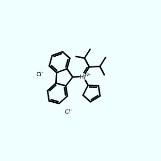 CC(C)[C](C(C)C)=[Hf+2]([C]1=CC=CC1)[CH]1c2ccccc2-c2ccccc21.[Cl-].[Cl-]